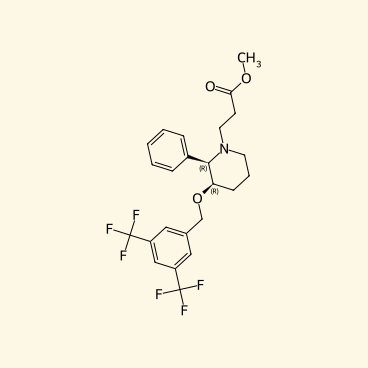 COC(=O)CCN1CCC[C@@H](OCc2cc(C(F)(F)F)cc(C(F)(F)F)c2)[C@H]1c1ccccc1